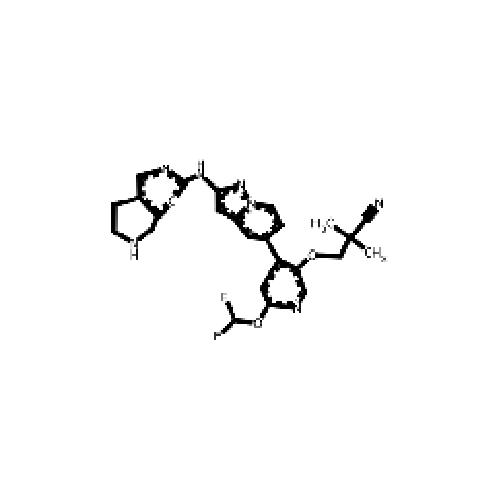 CC(C)(C#N)COc1cnc(OC(F)F)cc1-c1ccn2nc(Nc3cc4c(cn3)CCNC4)cc2c1